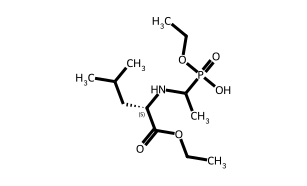 CCOC(=O)[C@H](CC(C)C)NC(C)P(=O)(O)OCC